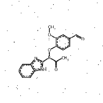 COc1cc(C=O)ccc1ON(C(C)=O)c1nc2ccccc2[nH]1